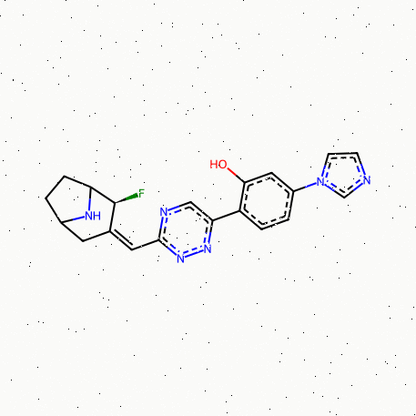 Oc1cc(-n2ccnc2)ccc1-c1cnc(/C=C2/CC3CCC(N3)[C@H]2F)nn1